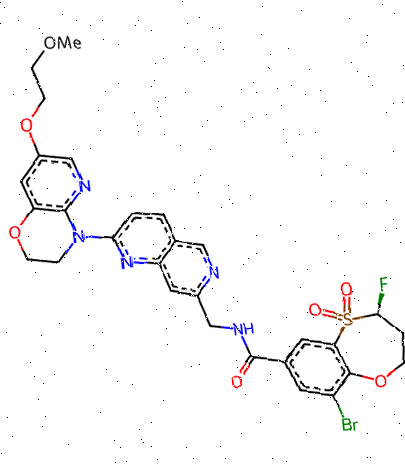 COCCOc1cnc2c(c1)OCCN2c1ccc2cnc(CNC(=O)c3cc(Br)c4c(c3)S(=O)(=O)[C@@H](F)CCO4)cc2n1